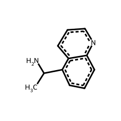 CC(N)c1cccc2ncccc12